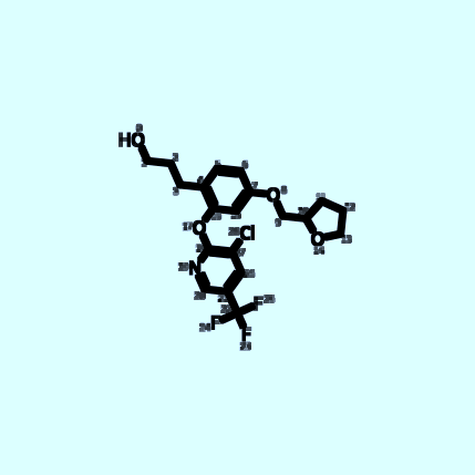 OCCCc1ccc(OCC2CCCO2)cc1Oc1ncc(C(F)(F)F)cc1Cl